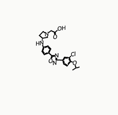 CC(C)Oc1ccc(-c2noc(-c3ccc(N[C@H]4CCN(CC(=O)O)C4)cc3)n2)cc1Cl